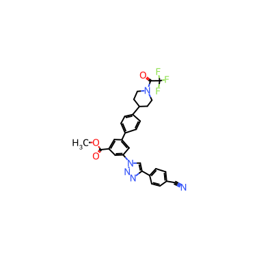 COC(=O)c1cc(-c2ccc(C3CCN(C(=O)C(F)(F)F)CC3)cc2)cc(-n2cc(-c3ccc(C#N)cc3)nn2)c1